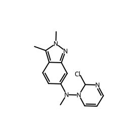 Cc1c2ccc(N(C)N3C=CC=NC3Cl)cc2nn1C